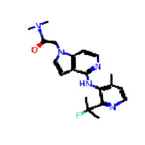 Cc1ccnc(C(C)(C)F)c1Nc1nccc2c1ccn2CC(=O)N(C)C